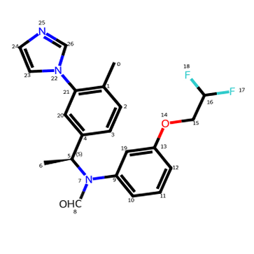 Cc1ccc([C@H](C)N(C=O)c2cccc(OCC(F)F)c2)cc1-n1ccnc1